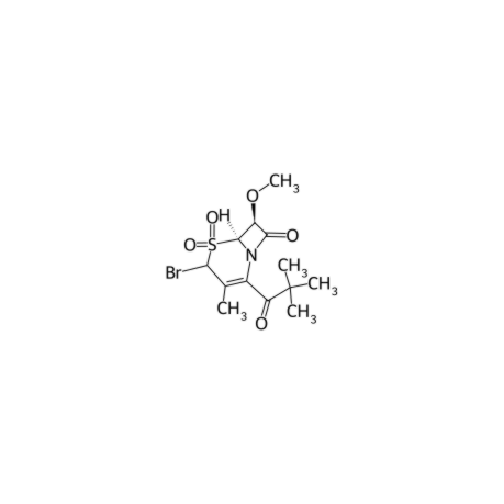 CO[C@H]1C(=O)N2C(C(=O)C(C)(C)C)=C(C)C(Br)S(=O)(=O)[C@@H]12